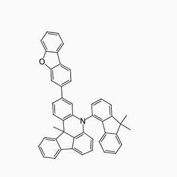 CC1(C)c2ccccc2-c2c(N3c4cc(-c5ccc6c(c5)oc5ccccc56)ccc4C4(C)c5ccccc5-c5cccc3c54)cccc21